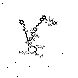 CC(CC(C)C(=O)N1CCN(CCCOc2ccc3nccc(C(=O)NCC(=O)N4CC(F)(F)C[C@@H]4C#N)c3c2)CC1)C(=O)NC(=O)[C@H](CCCCCNC(=O)CCCc1ccc(I)cc1)NC(=O)CN1CCN(CC(=O)O)CCN(CC(=O)O)CCN(CC(=O)O)CC1